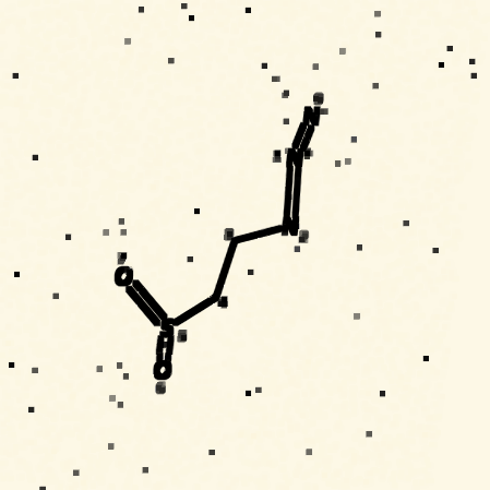 [N-]=[N+]=NCC[SH](=O)=O